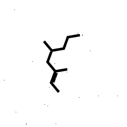 [CH2]CCC(C)C/C(C)=C/C